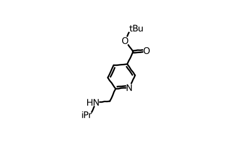 CC(C)NCc1ccc(C(=O)OC(C)(C)C)cn1